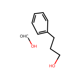 O=CO.OCCCc1ccccc1